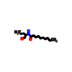 CCCCCCCCCC(=O)NC(C=O)CCC